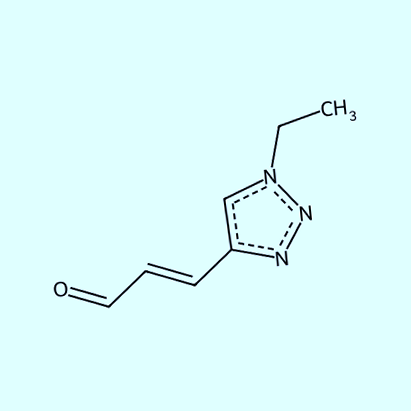 CCn1cc(/C=C/C=O)nn1